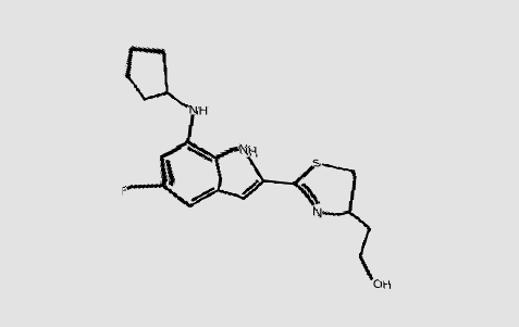 OCCC1CSC(c2cc3cc(F)cc(NC4CCCC4)c3[nH]2)=N1